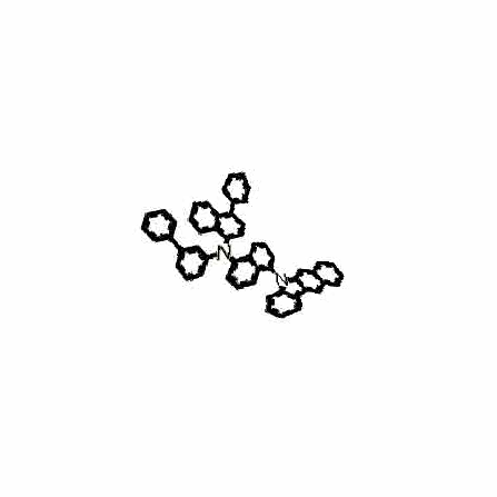 c1ccc(-c2cccc(N(c3ccc(-c4ccccc4)c4ccccc34)c3cccc4c(-n5c6ccccc6c6cc7ccccc7cc65)cccc34)c2)cc1